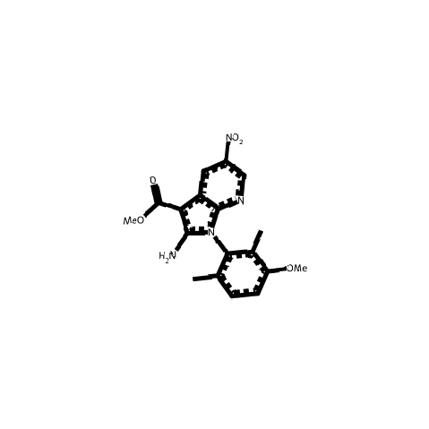 COC(=O)c1c(N)n(-c2c(C)ccc(OC)c2C)c2ncc([N+](=O)[O-])cc12